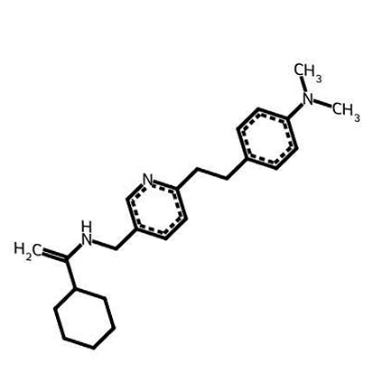 C=C(NCc1ccc(CCc2ccc(N(C)C)cc2)nc1)C1CCCCC1